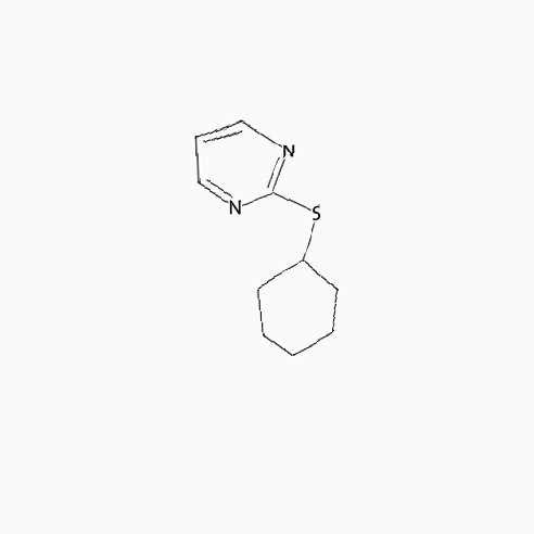 c1cnc(SC2CCCCC2)nc1